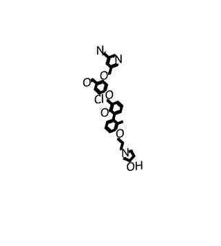 COc1c(COc2cc(OCc3cncc(C#N)c3)c(C=O)cc2Cl)cccc1-c1cccc(OCCCN2CCC(O)C2)c1C